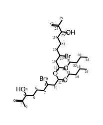 C=C(C)C(O)CCCC(Br)CC(OCCCC)OC(CC(Br)CCCC(O)C(=C)C)OCCCC